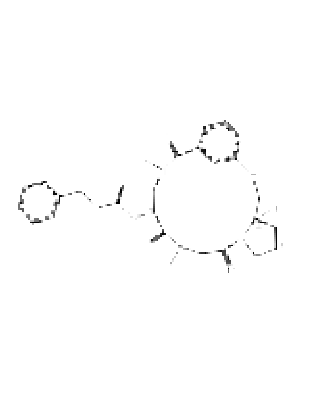 C[C@H]1C[C@H]2COc3cccc(c3)C(=O)N(C)C[C@H](NC(=O)OCc3ccccc3)C(=O)N(C)CC(=O)N2C1